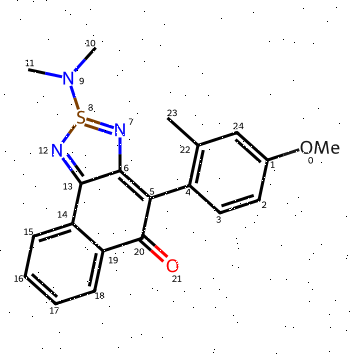 COc1ccc(C2=C3N=S(N(C)C)N=C3c3ccccc3C2=O)c(C)c1